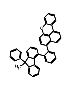 CC1(c2ccccc2)c2ccccc2-c2c(-c3ccccc3-c3ccc4c5c(cccc35)-c3ccccc3O4)cccc21